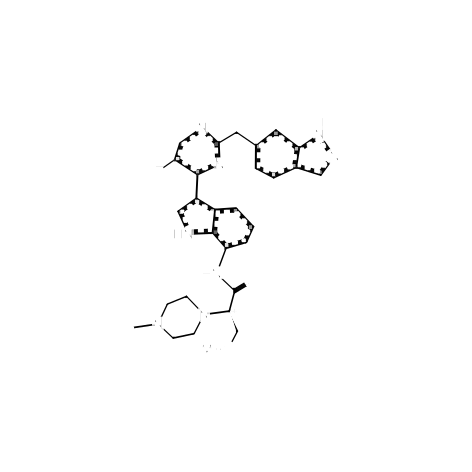 COC[C@H](C(=O)Nc1cccc2c(-c3nc(Cc4ccc5cn[nH]c5c4)ncc3F)c[nH]c12)N1CCN(C)CC1